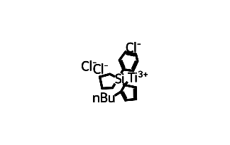 CCCCC1=CC=C[C]1([Ti+3])[Si]1(c2ccccc2)CCCC1.[Cl-].[Cl-].[Cl-]